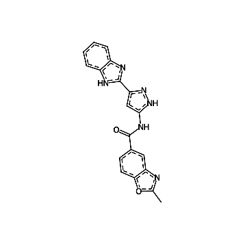 Cc1nc2cc(C(=O)Nc3cc(-c4nc5ccccc5[nH]4)n[nH]3)ccc2o1